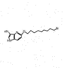 CCCc1c[nH]c2ccc(OCCCCCCCCCBr)nc12